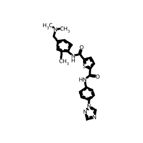 Cc1cc(CN(C)C)ccc1NC(=O)c1ccc(C(=O)Nc2ccc(-n3cncn3)cc2)s1